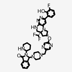 O=C1c2ccccc2C(N2CCN(Cc3cnc(O[C@H]4CN5c6cc(-c7cccc(F)c7O)nnc6NC[C@]5(C(F)F)C4)cn3)CC2)N1C1CCCCN1